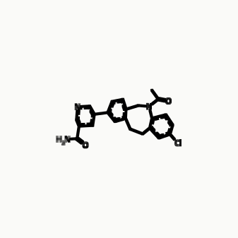 CC(=O)N1Cc2ccc(-c3cncc(C(N)=O)c3)cc2CCc2cc(Cl)ccc21